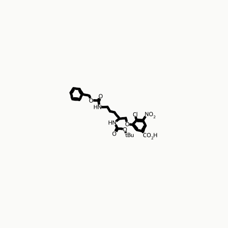 CC(C)(C)OC(=O)NC(CCCNC(=O)OCc1ccccc1)COc1cc(C(=O)O)cc([N+](=O)[O-])c1Cl